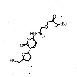 CC(C)(C)OC(=O)COCC(=O)Nc1ccn(C2CCC(CO)O2)c(=O)n1